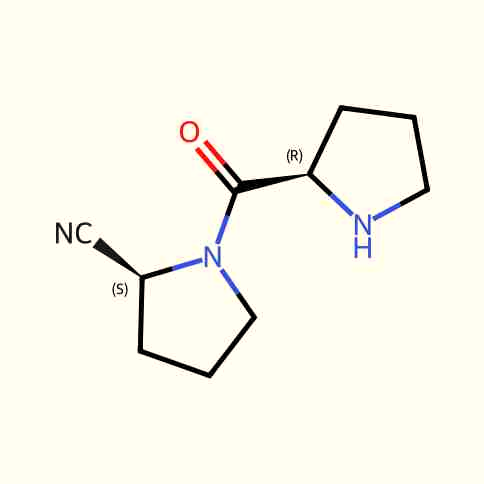 N#C[C@@H]1CCCN1C(=O)[C@H]1CCCN1